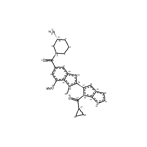 COc1cc(C(=O)N2CCC[C@@H](N)C2)cc2nc(-c3cc4ccsc4n3C(=O)C3CC3)n(C)c12